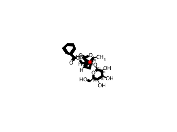 C[C@]12C[C@@H](O)[C@@H]3C[C@@]1(O[C@@H]1O[C@H](CO)[C@@H](O)[C@H](O)[C@H]1O)[C@@]3(COC(=O)c1ccccc1)C(=O)O2